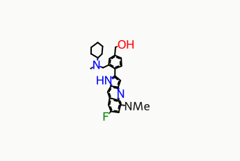 CNc1cc(F)cc2cc3[nH]c(-c4ccc(CO)cc4CN(C)C4CCCCC4)cc3nc12